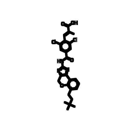 CC(=Cc1c(Cl)cc(C(=O)Nc2nc3c(s2)COc2c(CCC(C)(C)C)cccc2-3)cc1Cl)C(=O)O